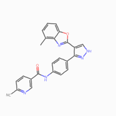 Cc1cccc2oc(-c3c[nH]nc3-c3ccc(NC(=O)c4ccc(C#N)nc4)cc3)nc12